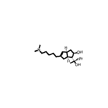 CCC[C@](C)(O)[C@@H]1[C@H]2CC(CCCCCN(C)C)=C[C@H]2C[C@H]1O